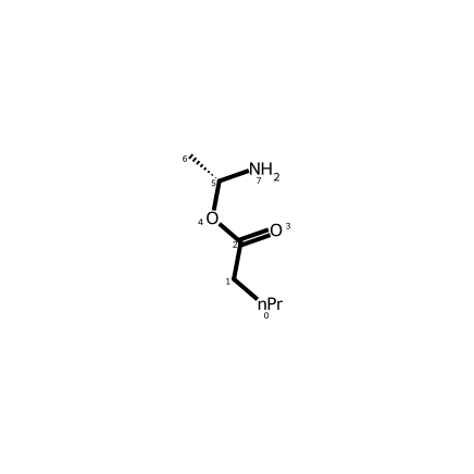 CCCCC(=O)O[C@H](C)N